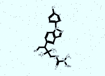 CC(C)CC(c1ccc2c(cnn2-c2ccc(F)cc2)c1)C(C)(C)CNC(=O)N(C)C(C)(C)C